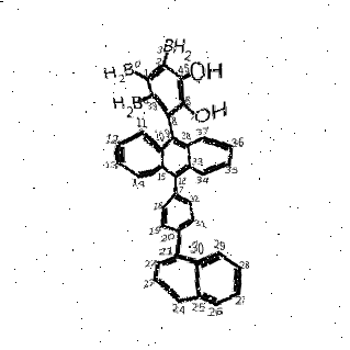 Bc1c(B)c(O)c(O)c(-c2c3ccccc3c(-c3ccc(-c4cccc5ccccc45)cc3)c3ccccc23)c1B